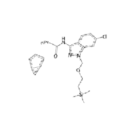 CCCC(=O)Nc1nn(COCC[Si](C)(C)C)c2cc(Cl)ccc12.c1cc2cc-2c1